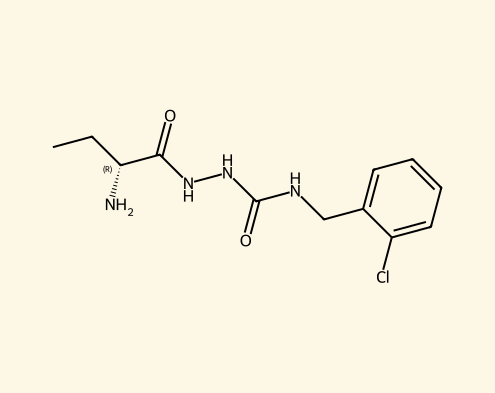 CC[C@@H](N)C(=O)NNC(=O)NCc1ccccc1Cl